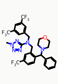 Cn1nnc(N(Cc2cc(C(F)(F)F)cc(C(F)(F)F)c2)Cc2cc(C(F)(F)F)ccc2C(c2ccccc2)N2CCOCC2)n1